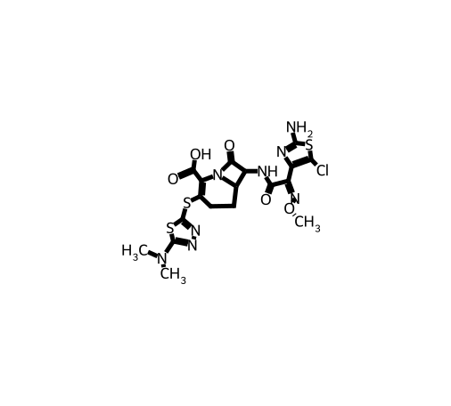 CO/N=C(\C(=O)NC1C(=O)N2C(C(=O)O)=C(Sc3nnc(N(C)C)s3)CCC12)c1nc(N)sc1Cl